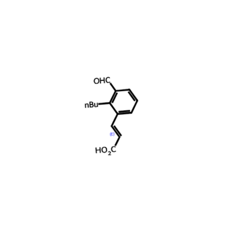 CCCCc1c(C=O)cccc1/C=C/C(=O)O